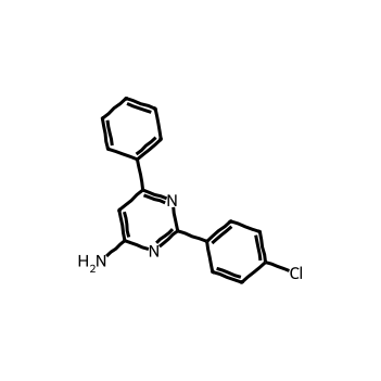 Nc1cc(-c2ccccc2)nc(-c2ccc(Cl)cc2)n1